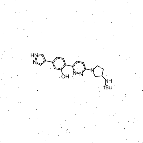 CC(C)(C)NC1CCN(c2ccc(-c3ccc(-c4cn[nH]c4)cc3O)nn2)C1